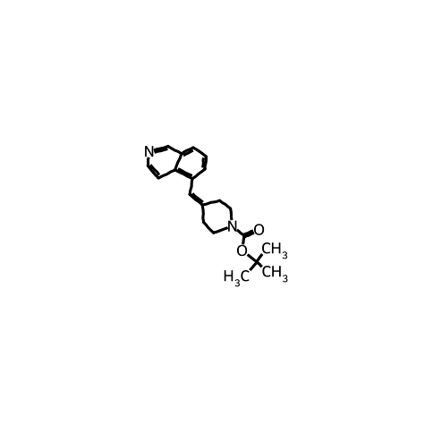 CC(C)(C)OC(=O)N1CCC(=Cc2cccc3cnccc23)CC1